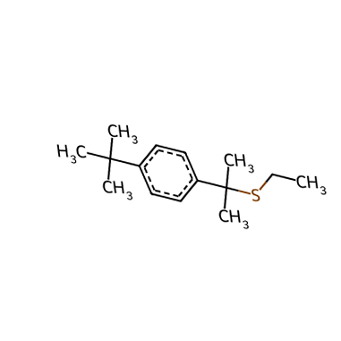 CCSC(C)(C)c1ccc(C(C)(C)C)cc1